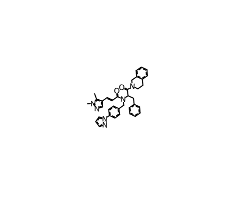 Cc1c(C=CC(=O)N(Cc2ccc(-n3cccn3)cc2)C(Cc2ccccc2)C(=O)N2CCc3ccccc3C2)cnn1C